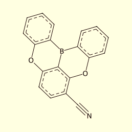 N#Cc1ccc2c3c1Oc1ccccc1B3c1ccccc1O2